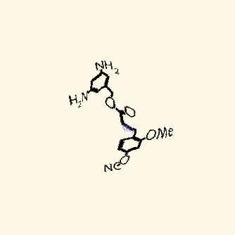 COc1cc(OC#N)ccc1/C=C/C(=O)OCc1cc(N)cc(N)c1